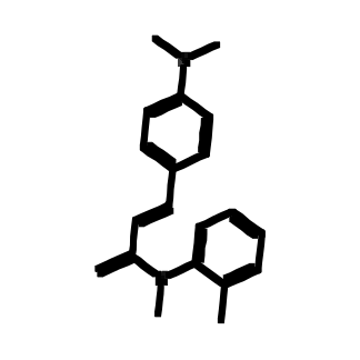 C=C(C=Cc1ccc(N(C)C)cc1)N(C)c1ccccc1C